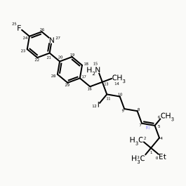 CCC(C)(C)C/C(C)=C/CCCC(I)C(C)(N)Cc1ccc(-c2ccc(F)cn2)cc1